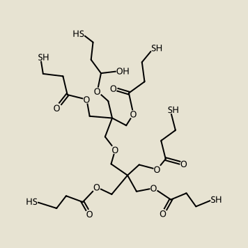 O=C(CCS)OCC(COCC(COC(=O)CCS)(COC(=O)CCS)COC(O)CCS)(COC(=O)CCS)COC(=O)CCS